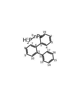 CCCP.c1ccc(-c2ccccc2-c2ccccc2)cc1